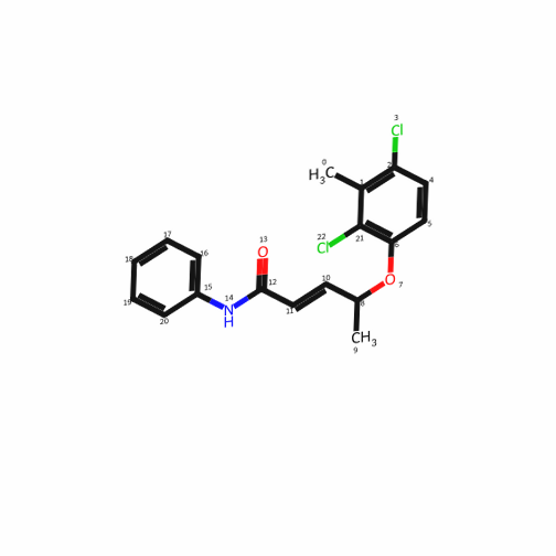 Cc1c(Cl)ccc(OC(C)C=CC(=O)Nc2ccccc2)c1Cl